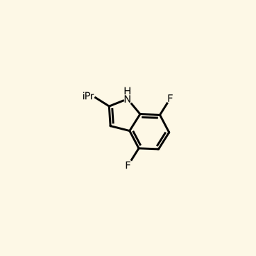 CC(C)c1cc2c(F)ccc(F)c2[nH]1